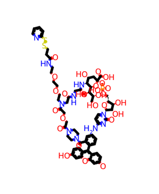 Nc1ccn([C@@H]2O[C@H](COP(=O)(O)O[C@@]3(C(=O)O)C[C@H](O)[C@@H](NC(=O)CNC(=O)CN(CCOCCOCCNC(=O)CCSSc4ccccn4)C(=O)COCC(=O)N4CCN(C(=O)c5ccccc5-c5c6ccc(=O)cc-6oc6cc(O)ccc56)CC4)[C@H]([C@H](O)[C@H](O)CO)O3)[C@@H](O)[C@H]2O)c(=O)n1